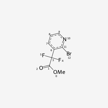 COC(=O)C(F)(F)c1cccnc1Br